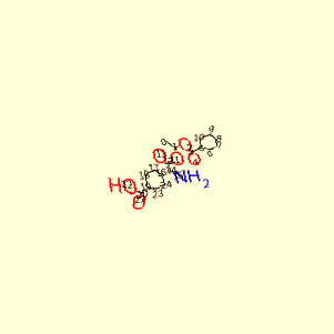 CC(OC(=O)C1CCCCC1)OC(=O)C(N)[C@H]1CC[C@H](C(=O)O)CC1